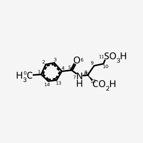 Cc1ccc(C(=O)N[C@@H](CCS(=O)(=O)O)C(=O)O)cc1